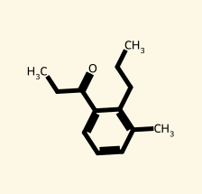 CCCc1c(C)cccc1C(=O)CC